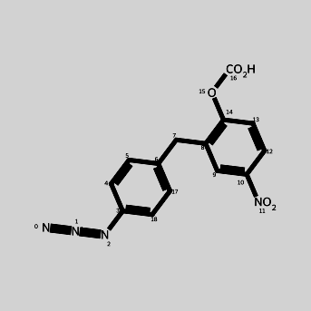 [N-]=[N+]=Nc1ccc(Cc2cc([N+](=O)[O-])ccc2OC(=O)O)cc1